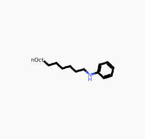 CCCCCCCCCCCCC[CH]Nc1ccccc1